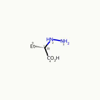 CC[C@H](NN)C(=O)O